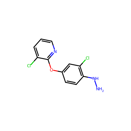 NNc1ccc(Oc2ncccc2Cl)cc1Cl